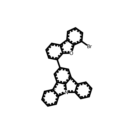 Brc1cccc2c1oc1c(-c3cc4c5ccccc5n5c6ccccc6c(c3)c45)cccc12